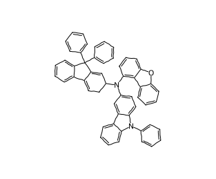 C1=C2C(=CC(N(c3ccc4c(c3)c3ccccc3n4-c3ccccc3)c3cccc4oc5ccccc5c34)C1)C(c1ccccc1)(c1ccccc1)c1ccccc12